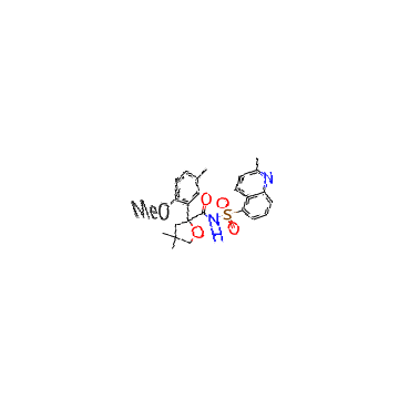 COc1ccc(C)cc1C1(C(=O)NS(=O)(=O)c2cccc3nc(C)ccc23)CC(C)(C)CO1